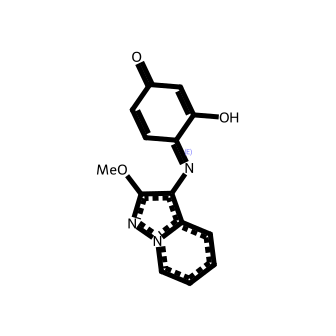 COc1nn2ccccc2c1/N=C1\C=CC(=O)C=C1O